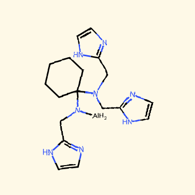 [AlH2][N](Cc1ncc[nH]1)C1(N(Cc2ncc[nH]2)Cc2ncc[nH]2)CCCCC1